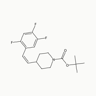 CC(C)(C)OC(=O)N1CCC(/C=C\c2cc(F)c(F)cc2F)CC1